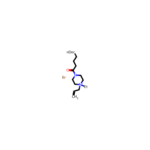 C=CC[N+]1(CC)CCN(C(=O)CCCCCCCCCCCCC)CC1.[Br-]